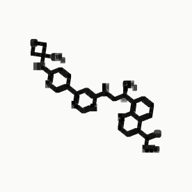 CNC(=O)c1ccnc2c([C@H](C)CNc3cc(-c4ccc(NC5(C)COC5)nc4)ncn3)cccc12